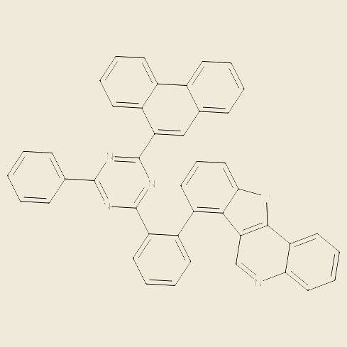 c1ccc(-c2nc(-c3ccccc3-c3cccc4oc5c6ccccc6ncc5c34)nc(-c3cc4ccccc4c4ccccc34)n2)cc1